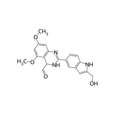 COc1cc2c(c(OC)c1)C(C=O)NC(c1ccc3[nH]c(CO)cc3c1)=N2